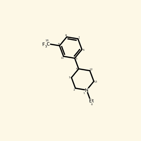 CCN1CCC(c2c[c]cc(C(F)(F)F)c2)CC1